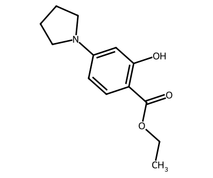 CCOC(=O)c1ccc(N2CCCC2)cc1O